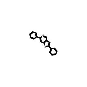 c1ccc(-c2cc3sc(-c4ccccc4)cc3cn2)cc1